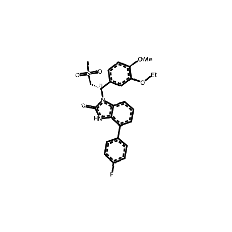 CCOc1cc([C@@H](CS(C)(=O)=O)n2c(=O)[nH]c3c(-c4ccc(F)cc4)cccc32)ccc1OC